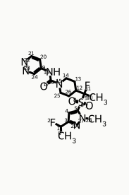 CC(F)c1cc(S(=O)(=O)C(C)(F)C2CCN(C(=O)Nc3ccnnc3)CC2)n(C)n1